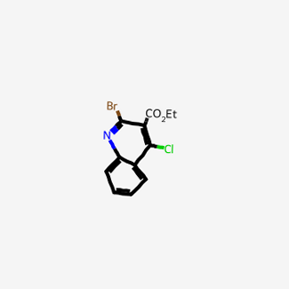 CCOC(=O)c1c(Br)nc2ccccc2c1Cl